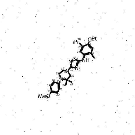 CCOc1cc(C)c(Nc2nc(N3CCN(c4ccc(OC)cc4)C(C)(C)C3)ns2)cc1C(C)C